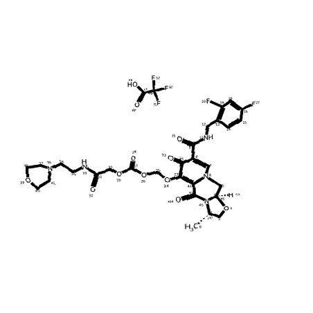 C[C@H]1CO[C@@H]2Cn3cc(C(=O)NCc4ccc(F)cc4F)c(=O)c(OCOC(=O)OCC(=O)NCCN4CCOCC4)c3C(=O)N12.O=C(O)C(F)(F)F